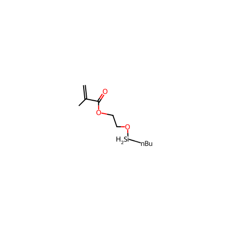 C=C(C)C(=O)OCCO[SiH2]CCCC